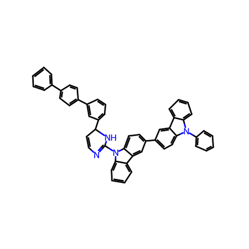 C1=CC(c2cccc(-c3ccc(-c4ccccc4)cc3)c2)NC(n2c3ccccc3c3cc(-c4ccc5c(c4)c4ccccc4n5-c4ccccc4)ccc32)=N1